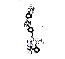 COCc1ccccc1N1C(=O)CS/C1=N\C(=O)OCCc1ccc(-c2ncn(-c3ccc(OC(F)(F)F)cc3)n2)cc1